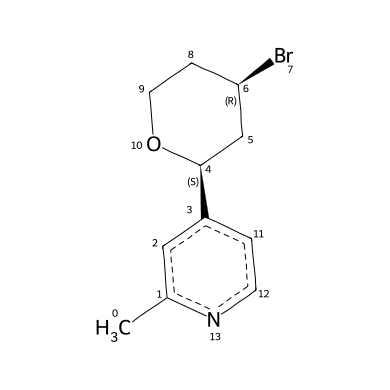 Cc1cc([C@@H]2C[C@H](Br)CCO2)ccn1